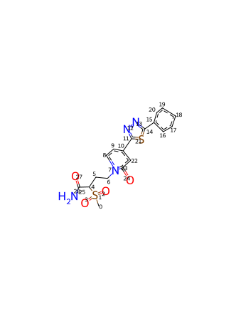 CS(=O)(=O)C(CCn1ccc(-c2nnc(-c3ccccc3)s2)cc1=O)C(N)=O